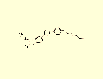 CCCCCCCOc1ccc(-c2nc(-c3ccc(C[C@H](NC(=O)OC(C)(C)C)C(=O)OC)cc3)co2)cc1